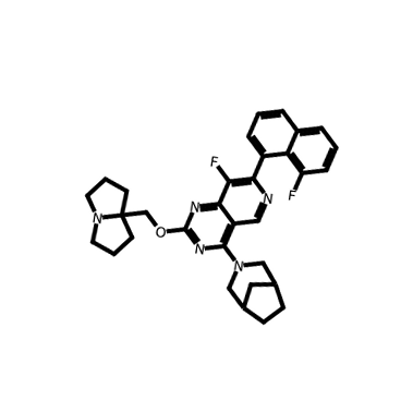 Fc1c(-c2cccc3cccc(F)c23)ncc2c(N3CC4CCC(C4)C3)nc(OCC34CCCN3CCC4)nc12